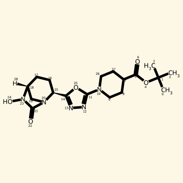 CC(C)(C)OC(=O)C1CCN(c2nnc([C@@H]3CC[C@@H]4CN3C(=O)N4O)o2)CC1